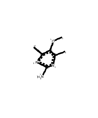 COc1c(C)nc(N)nc1C